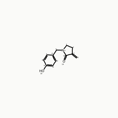 C=C1CCN(Cc2ccc(O)cc2)C1=O